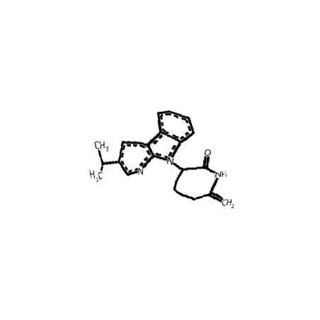 C=C1CCC(n2c3ccccc3c3cc(C(C)C)cnc32)C(=O)N1